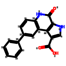 O=C(O)c1c[nH]c2c(=O)[nH]c3ccc(-c4ccccc4)cc3c12